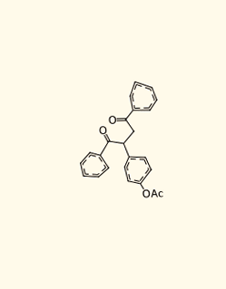 CC(=O)Oc1ccc(C(CC(=O)c2ccccc2)C(=O)c2ccccc2)cc1